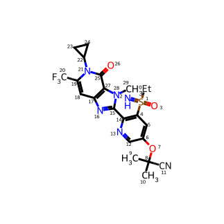 CCS(=N)(=O)c1cc(OC(C)(C)C#N)cnc1-c1nc2cc(C(F)(F)F)n(C3CC3)c(=O)c2n1C